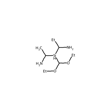 CCOC(OCC)[SiH](C(C)N)C(N)CC